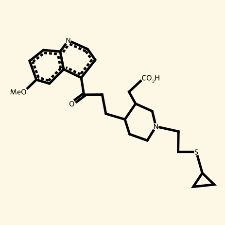 COc1ccc2nccc(C(=O)CCC3CCN(CCSC4CC4)CC3CC(=O)O)c2c1